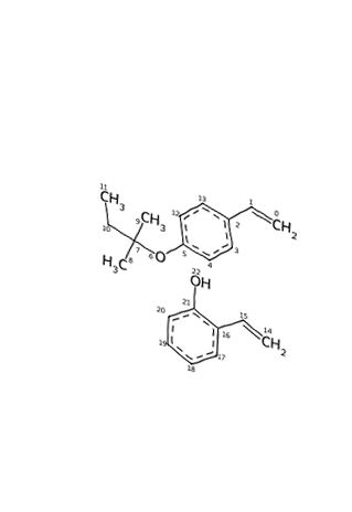 C=Cc1ccc(OC(C)(C)CC)cc1.C=Cc1ccccc1O